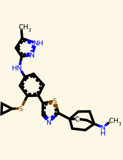 CNC12CCC(c3ncc(-c4ccc(Nc5cc(C)[nH]n5)cc4SC4CC4)s3)(CC1)CC2